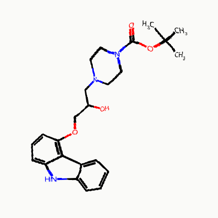 CC(C)(C)OC(=O)N1CCN(CC(O)COc2cccc3[nH]c4ccccc4c23)CC1